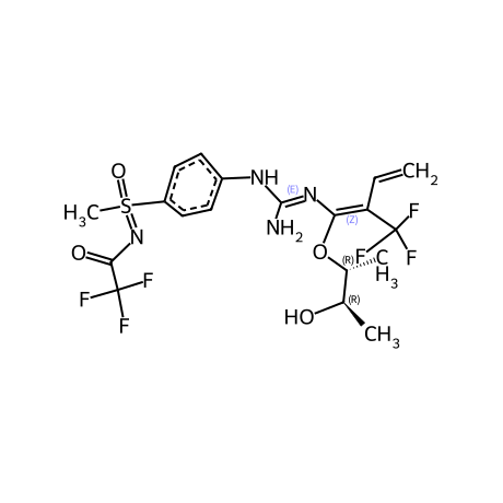 C=C/C(=C(\N=C(/N)Nc1ccc(S(C)(=O)=NC(=O)C(F)(F)F)cc1)O[C@H](C)[C@@H](C)O)C(F)(F)F